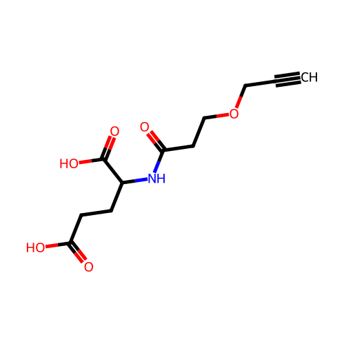 C#CCOCCC(=O)NC(CCC(=O)O)C(=O)O